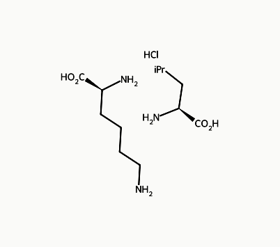 CC(C)C[C@H](N)C(=O)O.Cl.NCCCC[C@H](N)C(=O)O